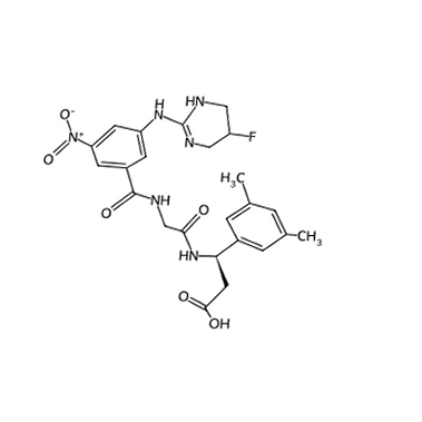 Cc1cc(C)cc([C@@H](CC(=O)O)NC(=O)CNC(=O)c2cc(NC3=NCC(F)CN3)cc([N+](=O)[O-])c2)c1